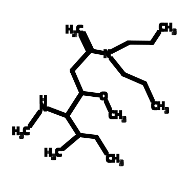 C=C(CC(OC)C(NC)C(C)CC)N(CCC)CCC